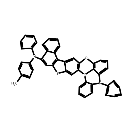 Cc1ccc(N(c2ccccc2)c2cc3sc4cc5c(cc4c3c3ccccc23)Oc2cccc3c2B5c2ccccc2N3c2ccccc2)cc1